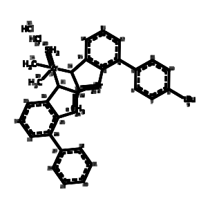 CC1=Cc2c(-c3ccc(C(C)(C)C)cc3)cccc2[CH]1[Zr]([CH3])([CH3])(=[SiH2])[CH]1C(C(C)C)=Cc2c(-c3ccccc3)cccc21.Cl.Cl